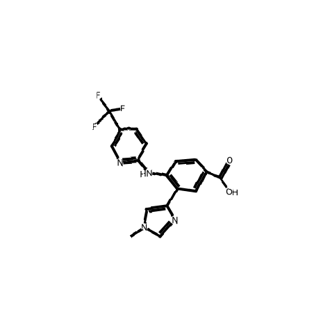 Cn1cnc(-c2cc(C(=O)O)ccc2Nc2ccc(C(F)(F)F)cn2)c1